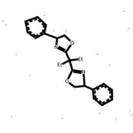 CCC(CC)(C1=NC(c2ccccc2)CO1)C1=NC(c2ccccc2)CO1